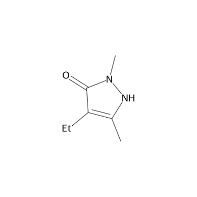 CCc1c(C)[nH]n(C)c1=O